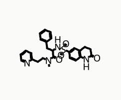 CN(CCc1ccccn1)C(=O)C(Cc1ccccc1)NS(=O)(=O)c1ccc2c(c1)CCC(=O)N2